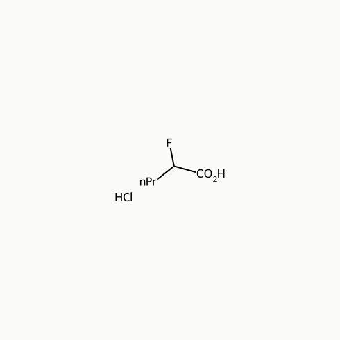 CCCC(F)C(=O)O.Cl